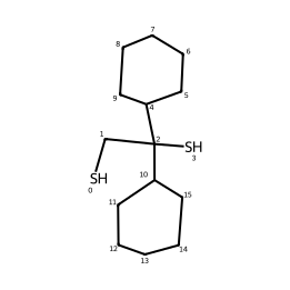 SCC(S)(C1CCCCC1)C1CCCCC1